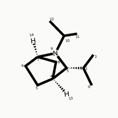 CC(C)[C@@H]1[C@H]2CC[C@H](C2)N1C(C)C